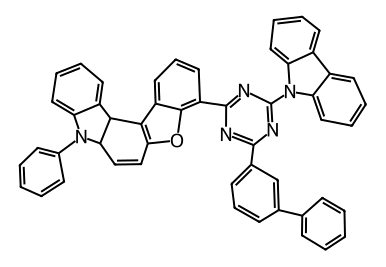 C1=CC2C(c3ccccc3N2c2ccccc2)c2c1oc1c(-c3nc(-c4cccc(-c5ccccc5)c4)nc(-n4c5ccccc5c5ccccc54)n3)cccc21